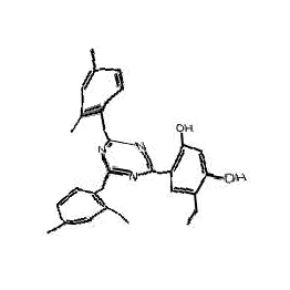 CCc1cc(-c2nc(-c3ccc(C)cc3C)nc(-c3ccc(C)cc3C)n2)c(O)cc1O